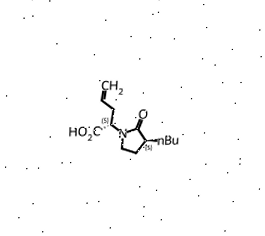 C=CC[C@@H](C(=O)O)N1CC[C@H](CCCC)C1=O